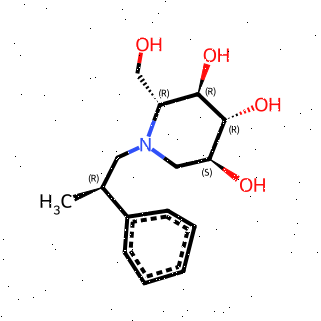 C[C@@H](CN1C[C@H](O)[C@@H](O)[C@H](O)[C@H]1CO)c1ccccc1